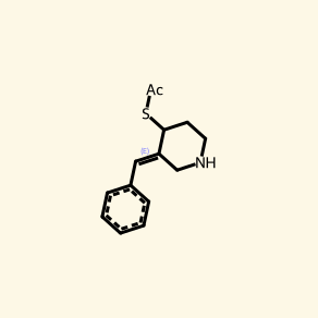 CC(=O)SC1CCNC/C1=C\c1ccccc1